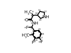 Cc1c(C(F)NC(=O)C(C)C2CCNC2)ccc(F)c1F